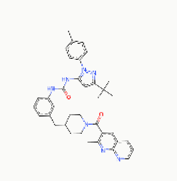 Cc1ccc(-n2nc(C(C)(C)C)cc2NC(=O)Nc2cccc(CC3CCN(C(=O)c4cc5cccnc5nc4C)CC3)c2)cc1